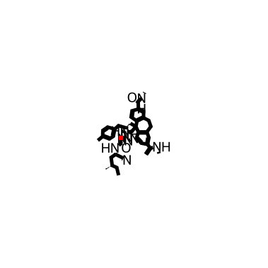 C=C(NC)c1ccc2c(c1)CCc1cc(C(=O)NC)ccc1C2(C[C@@H](Cc1ccc(C)cc1)NCC(=O)NC(C#N)C[C@@H](C)CC)c1nnn[nH]1